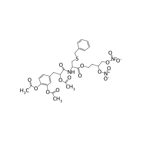 CC(=O)Oc1ccc(CC(OC(C)=O)C(=O)NC(CSCc2ccccc2)C(=O)OCCC(CO[N+](=O)[O-])O[N+](=O)[O-])cc1OC(C)=O